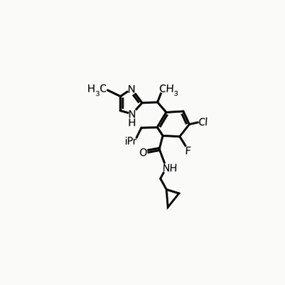 Cc1c[nH]c(C(C)C2=C(CC(C)C)C(C(=O)NCC3CC3)C(F)C(Cl)=C2)n1